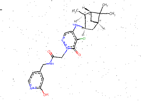 C[C@H]1[C@H]2C[C@H](C[C@H]1Nc1cnn(CC(=O)NCc3ccnc(O)c3)c(=O)c1Cl)C2(C)C